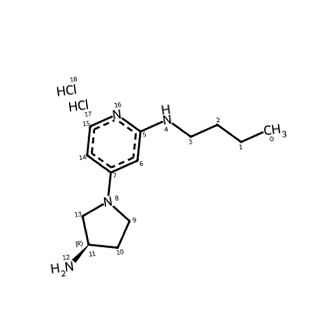 CCCCNc1cc(N2CC[C@@H](N)C2)ccn1.Cl.Cl